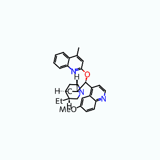 CC[C@H]1CN2CC[C@H]1C[C@@H]2[C@@H](Oc1cc(C)c2ccccc2n1)c1ccnc2ccc(OC)cc12